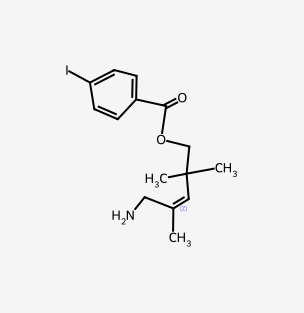 C/C(=C/C(C)(C)COC(=O)c1ccc(I)cc1)CN